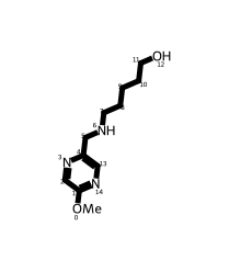 COc1cnc(CNCCCCCO)cn1